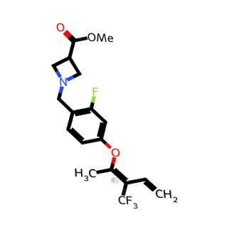 C=C/C(=C(/C)Oc1ccc(CN2CC(C(=O)OC)C2)c(F)c1)C(F)(F)F